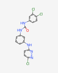 O=C(Nc1cccc(Nc2ccc(Cl)nn2)c1)Nc1ccc(Cl)c(Cl)c1